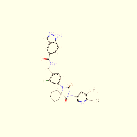 N#Cc1ncc(N2C(=O)C3(CCCCC3)N(c3ccc(CNC(=O)c4ccc5[nH]ncc5c4)c(F)c3)C2=S)cc1C(F)(F)F